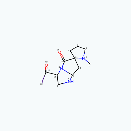 CN1CCCC12CC1NCC(C(=O)I)N1C2=O